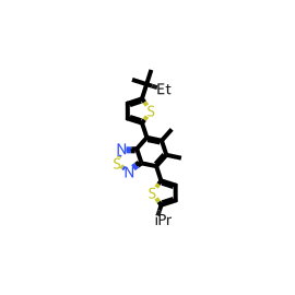 CCC(C)(C)c1ccc(-c2c(C)c(C)c(-c3ccc(C(C)C)s3)c3nsnc23)s1